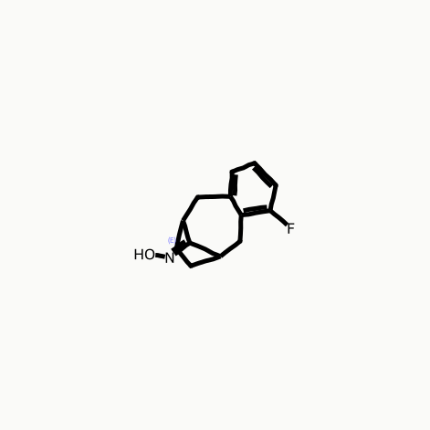 O/N=C1\C2CCC1Cc1c(F)cccc1C2